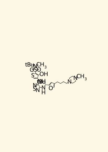 CN1CCN(CCCCc2coc([C@H](Nc3nsnc3Nc3csc(S(=O)(=O)N(C)C(C)(C)C)c3O)C(C)(C)C)c2)CC1